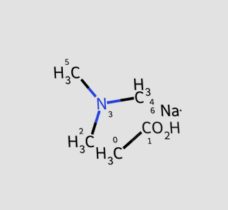 CC(=O)O.CN(C)C.[Na]